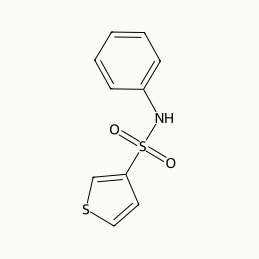 O=S(=O)(Nc1ccccc1)c1ccsc1